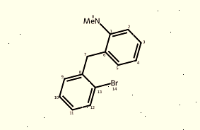 CNc1ccccc1Cc1ccccc1Br